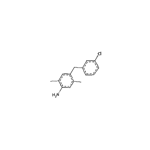 Cc1cc(Cc2cccc(Cl)c2)c(C)cc1N